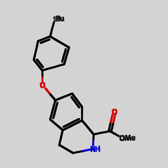 COC(=O)C1NCCc2cc(Oc3ccc(C(C)(C)C)cc3)ccc21